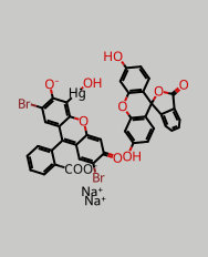 O=C([O-])c1ccccc1-c1c2cc(Br)c(=O)cc-2oc2[c]([Hg][OH])c([O-])c(Br)cc12.O=C1OC2(c3ccc(O)cc3Oc3cc(O)ccc32)c2ccccc21.[Na+].[Na+]